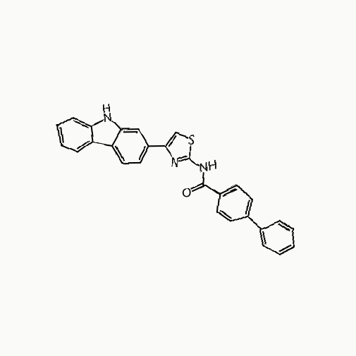 O=C(Nc1nc(-c2ccc3c(c2)[nH]c2ccccc23)cs1)c1ccc(-c2ccccc2)cc1